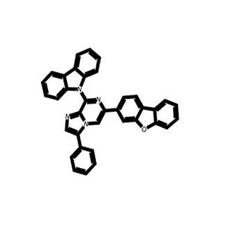 c1ccc(-c2cnc3c(-n4c5ccccc5c5ccccc54)nc(-c4ccc5c(c4)oc4ccccc45)cn23)cc1